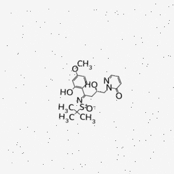 COc1ccc(/C(C[C@@H](O)Cn2ncccc2=O)=N/[S@@+]([O-])C(C)(C)C)c(O)c1